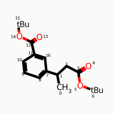 CC(CC(=O)OC(C)(C)C)c1cccc(C(=O)OC(C)(C)C)c1